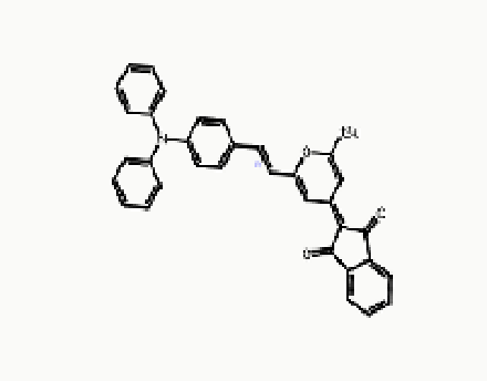 CC(C)(C)C1=CC(=C2C(=O)c3ccccc3C2=O)C=C(/C=C/c2ccc(N(c3ccccc3)c3ccccc3)cc2)O1